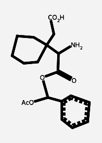 CC(=O)OC(OC(=O)C(N)C1(CC(=O)O)CCCCC1)c1ccccc1